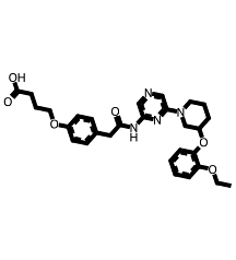 CCOc1ccccc1OC1CCCN(c2cncc(NC(=O)Cc3ccc(OCCCC(=O)O)cc3)n2)C1